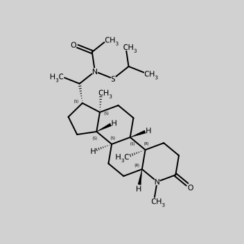 CC(=O)N(SC(C)C)C(C)[C@H]1CC[C@H]2[C@@H]3CC[C@H]4N(C)C(=O)CC[C@]4(C)[C@H]3CC[C@]12C